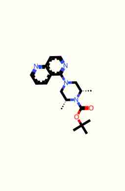 C[C@@H]1CN(c2nccc3ncccc23)C[C@H](C)N1C(=O)OC(C)(C)C